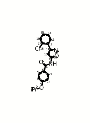 CC(C)Oc1ccc(C(=O)Nc2cc(-c3ccccc3Cl)no2)cc1